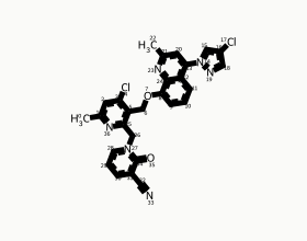 Cc1cc(Cl)c(COc2cccc3c(-n4cc(Cl)cn4)cc(C)nc23)c(Cn2cccc(C#N)c2=O)n1